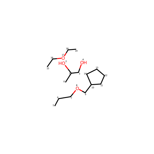 CC(O)CO.CCCOCC1CCCC1.CCOCC